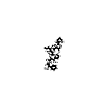 CCC(C)C(C(CC(=O)N1CCC[C@H]1C(OC)C(C)C(=O)NC(C)C(O)c1ccccc1)OC)N(C)C(=O)C(NC(=O)[C@]1(C)CCCN1)C(C)C